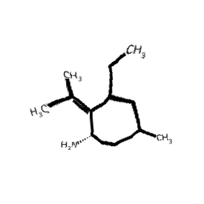 CCC1CC(C)C[C@H](N)C1=C(C)C